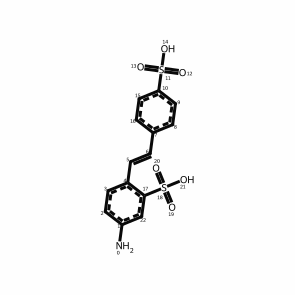 Nc1ccc(C=Cc2ccc(S(=O)(=O)O)cc2)c(S(=O)(=O)O)c1